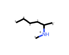 [CH2]C(CCCC)NC